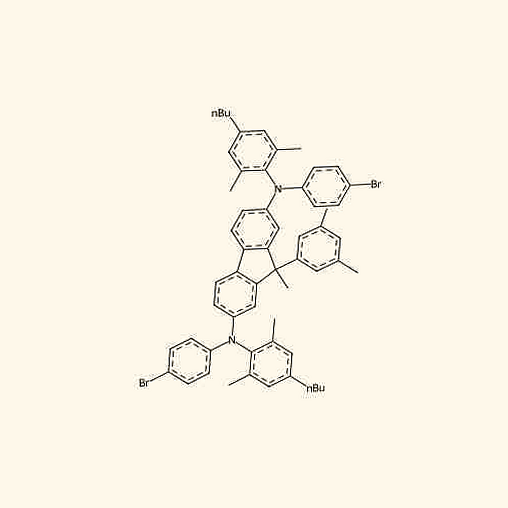 CCCCc1cc(C)c(N(c2ccc(Br)cc2)c2ccc3c(c2)C(C)(c2cc(C)cc(C)c2)c2cc(N(c4ccc(Br)cc4)c4c(C)cc(CCCC)cc4C)ccc2-3)c(C)c1